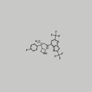 C[C@@](CNc1cc(C(F)(F)F)nc2cc(C(F)(F)F)nn12)(c1ccc(F)cc1)C1CNC1